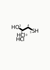 Cl.Cl.OCCS